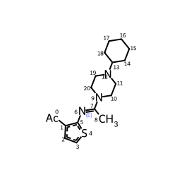 CC(=O)c1ccsc1/N=C(\C)N1CCN(C2CCCCC2)CC1